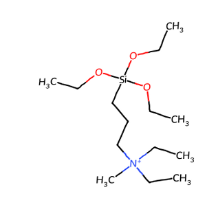 CCO[Si](CCC[N+](C)(CC)CC)(OCC)OCC